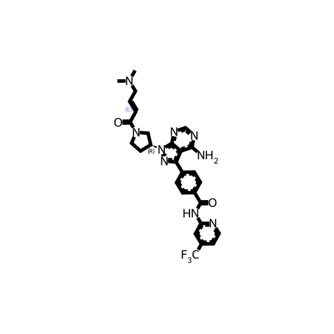 CN(C)C/C=C/C(=O)N1CC[C@@H](n2nc(-c3ccc(C(=O)Nc4cc(C(F)(F)F)ccn4)cc3)c3c(N)ncnc32)C1